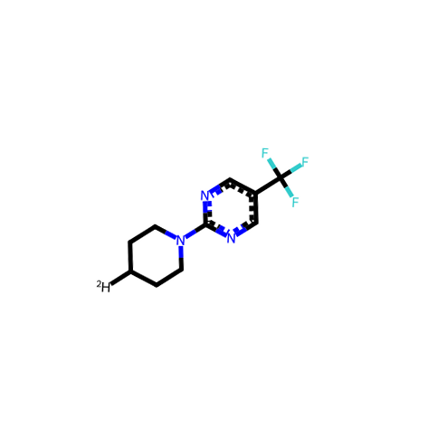 [2H]C1CCN(c2ncc(C(F)(F)F)cn2)CC1